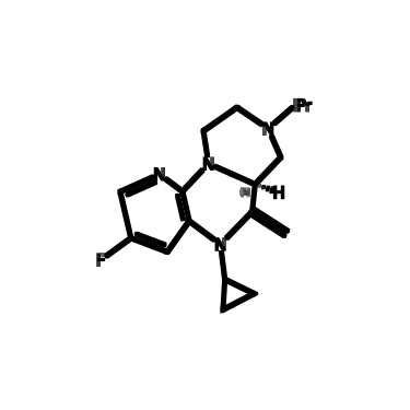 C=C1[C@@H]2CN(C(C)C)CCN2c2ncc(F)cc2N1C1CC1